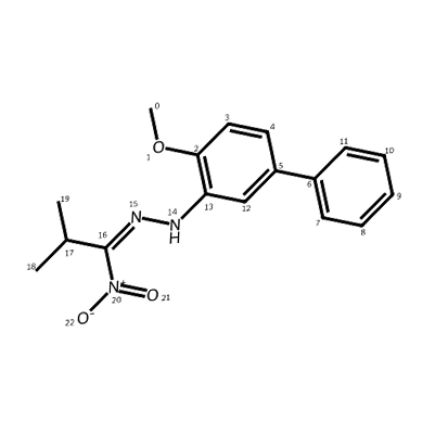 COc1ccc(-c2ccccc2)cc1N/N=C(/C(C)C)[N+](=O)[O-]